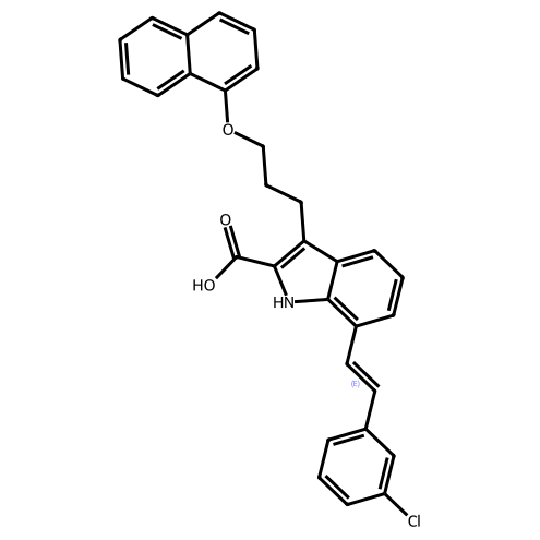 O=C(O)c1[nH]c2c(/C=C/c3cccc(Cl)c3)cccc2c1CCCOc1cccc2ccccc12